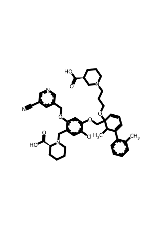 Cc1ccccc1C1=CC=CC(COc2cc(OCc3cncc(C#N)c3)c(CN3CCCC[C@H]3C(=O)O)cc2Cl)(OCCCN2CCC[C@H](C(=O)O)C2)C1C